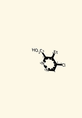 CCc1c(Cl)cnnc1C(=O)O